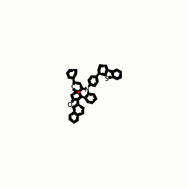 c1ccc(-c2cccc(N(c3ccc(-c4cccc5c4sc4ccccc45)cc3)c3ccccc3-c3cccc4oc5c6ccccc6ccc5c34)c2)cc1